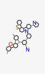 Cc1ccc2c(c1)-c1c(ccc3c1oc1ccc(C)cc13)C2c1cc(C#N)cc(-c2cccc(-n3c4cc(-c5ccccn5)ccc4c4c5c(ccc43)sc3ccccc35)c2)c1